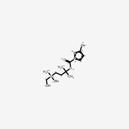 CC(C)(CC[Si](C)(CO)C(C)(C)C)OC(=O)n1ccc(O)n1